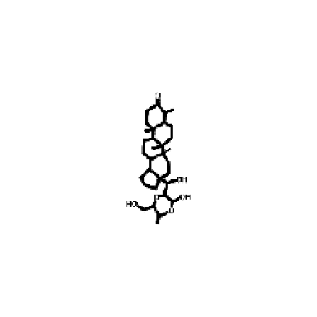 CC1OC(O)C(C(O)C23CCCC2C2CCC4C5(C)CCC(=O)C(C)C5CCC4(C)[C@]2(C)CC3)OC1CO